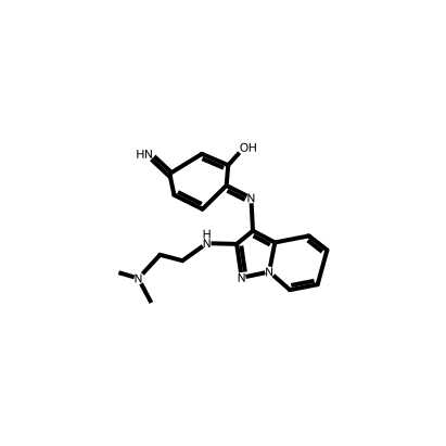 CN(C)CCNc1nn2ccccc2c1/N=C1\C=CC(=N)C=C1O